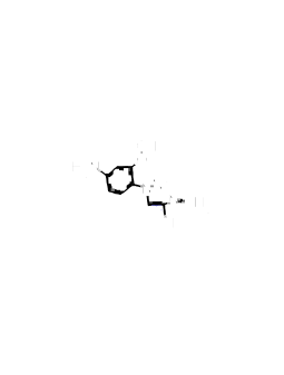 C=N/C(C)=C\N(N)c1ccc(N)cc1OC